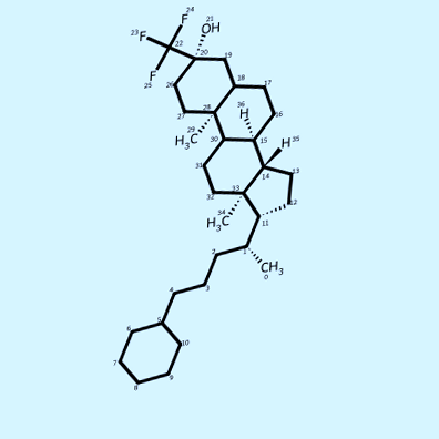 C[C@H](CCCC1CCCCC1)[C@H]1CC[C@H]2[C@@H]3CCC4C[C@](O)(C(F)(F)F)CC[C@]4(C)C3CC[C@]12C